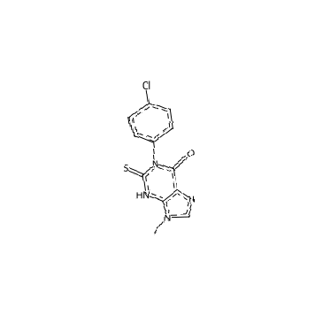 Cn1cnc2c(=O)n(-c3ccc(Cl)cc3)c(=S)[nH]c21